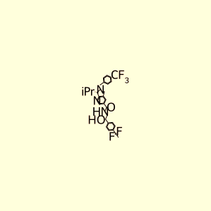 CC(C)[C@H]1c2ncc(C(=O)NCC(O)c3ccc(C(C)(F)F)cc3)cc2CN1Cc1ccc(C(F)(F)F)cc1